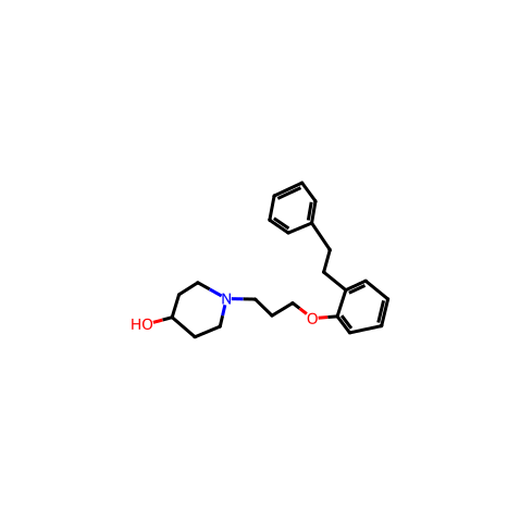 OC1CCN(CCCOc2ccccc2CCc2ccccc2)CC1